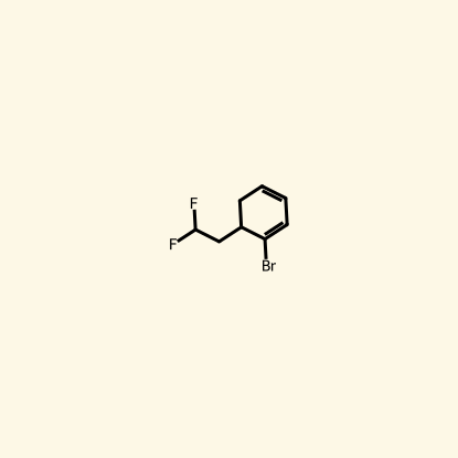 FC(F)CC1CC=CC=C1Br